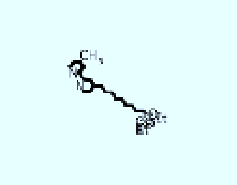 CCO[Si](CCCCCCCCCc1ccnc(-c2cc(C)ccn2)c1)(OCC)OCC